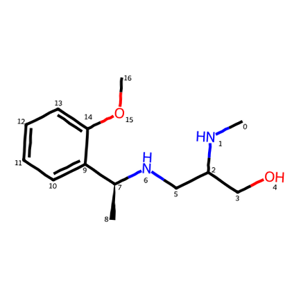 CNC(CO)CN[C@@H](C)c1ccccc1OC